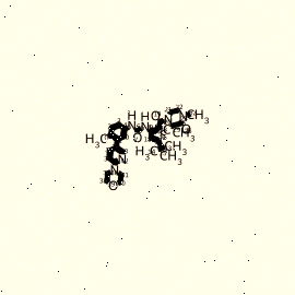 Cc1ccc(NC(=O)Nc2cc(C(C)(C)C)sc2C(=O)N2CCN(C)C(=O)C2(C)C)cc1-c1ccc(N2CCOCC2)nc1